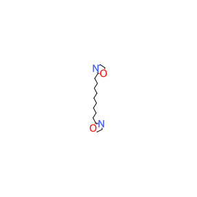 C(CCCCC1=NCCO1)CCCCC1=NCCO1